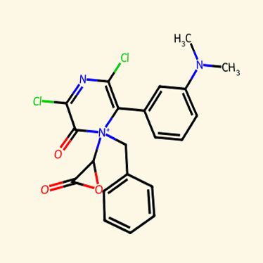 CN(C)c1cccc(C2=C(Cl)N=C(Cl)C(=O)[N+]2(Cc2ccccc2)C2OC2=O)c1